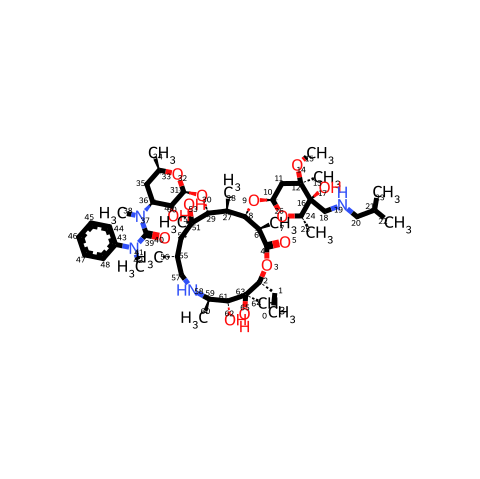 CC[C@H]1OC(=O)[C@H](C)[C@@H](O[C@H]2C[C@@](C)(OC)[C@](O)(CNCC(C)C)[C@H](C)O2)[C@H](C)[C@@H](O[C@@H]2O[C@H](C)C[C@H](N(C)C(=O)N(C)c3ccccc3)[C@H]2O)[C@](C)(O)C[C@@H](C)CN[C@H](C)[C@@H](O)[C@]1(C)O